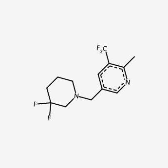 Cc1ncc(CN2CCCC(F)(F)C2)cc1C(F)(F)F